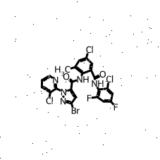 Cc1cc(Cl)cc(C(=O)Nc2c(F)cc(F)cc2Cl)c1NC(=O)c1cc(Br)nn1-c1ncccc1Cl